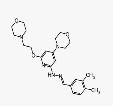 Cc1ccc(C=NNc2cc(N3CCOCC3)cc(OCCN3CCOCC3)n2)cc1C